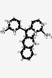 Nc1nccc2c(-c3ccnc(S)n3)c3cc4ccccc4nc3n12